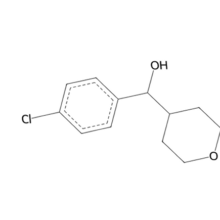 OC(c1ccc(Cl)cc1)C1CCOCC1